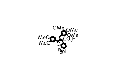 COc1ccc(C(=O)C(Cc2cc(OC)c(OC)c(OC)c2)=C(C(=O)O)c2ccc3nsnc3c2)cc1OC